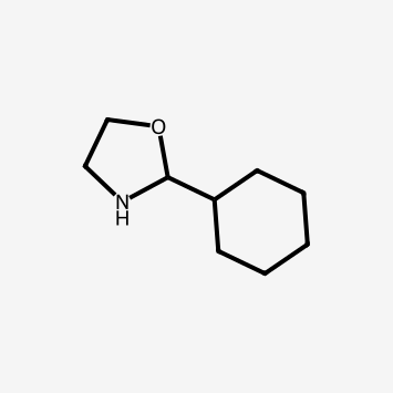 C1CCC(C2NCCO2)CC1